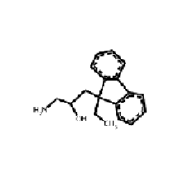 CCC1(CC(O)CN)c2ccccc2-c2ccccc21